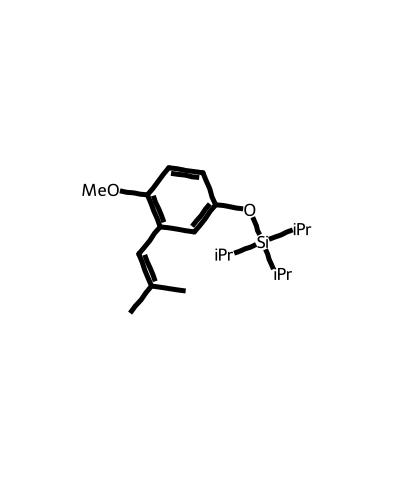 COc1ccc(O[Si](C(C)C)(C(C)C)C(C)C)cc1C=C(C)C